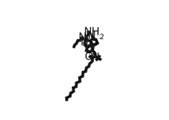 CCCCCCCCCCCCCCCCCC(=O)N(Cc1ccc(Cn2c(CCCC)nc3c(N)nc4ccccc4c32)cc1)C(C)(C)C